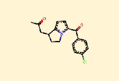 CC(=O)CC1CCn2c(C(=O)c3ccc(Cl)cc3)ccc21